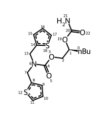 CCCC[C@@H](COC(=O)N(Cc1cccs1)Cc1cccs1)OC(N)=O